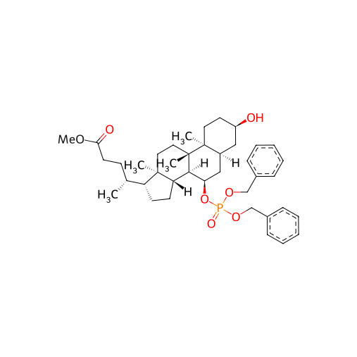 COC(=O)CC[C@@H](C)[C@H]1CC[C@H]2[C@@H]3[C@H](OP(=O)(OCc4ccccc4)OCc4ccccc4)C[C@@H]4C[C@H](O)CC[C@]4(C)[C@@]3(C)CC[C@]12C